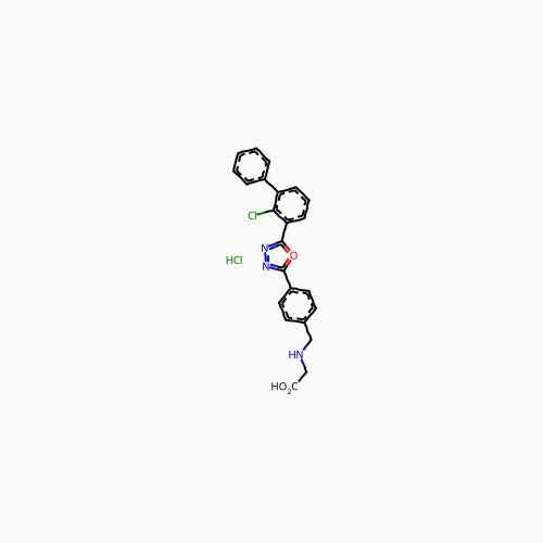 Cl.O=C(O)CNCc1ccc(-c2nnc(-c3cccc(-c4ccccc4)c3Cl)o2)cc1